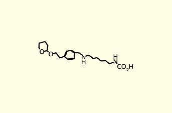 O=C(O)NCCCCCCNCc1ccc(CCOC2CCCCO2)cc1